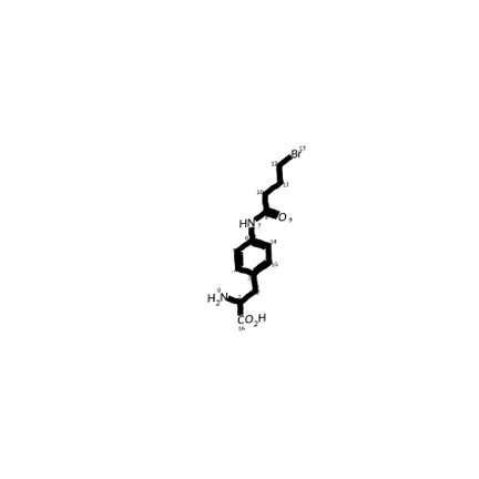 NC(Cc1ccc(NC(=O)CCCBr)cc1)C(=O)O